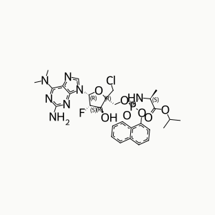 CC(C)OC(=O)[C@H](C)N[P@](=O)(OC[C@@]1(CCl)O[C@@H](n2cnc3c(N(C)C)nc(N)nc32)[C@@H](F)[C@@H]1O)Oc1cccc2ccccc12